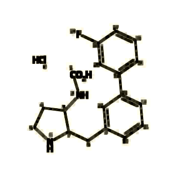 Cl.O=C(O)NC1CCNC1Cc1cccc(-c2cccc(F)c2)c1